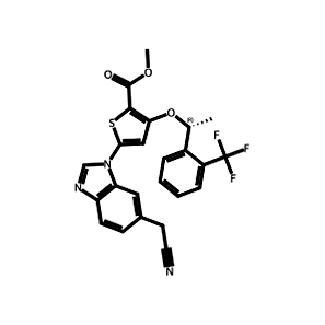 COC(=O)c1sc(-n2cnc3ccc(CC#N)cc32)cc1O[C@H](C)c1ccccc1C(F)(F)F